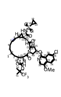 CC[C@@H]1C[C@H](C)CC/C=C\[C@@H]2C[C@@]2(C(=O)NS(=O)(=O)C2CC2)NC(=O)[C@@H]2C[C@@H](Oc3ncc(OC)c4ccc(Cl)cc34)CN2C(=O)[C@H]1NC(=O)OC(C)(C)C(F)(F)F